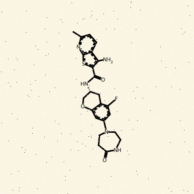 Cc1ccc2c(N)c(C(=O)N[C@H]3COc4cc(N5CCNC(=O)CC5)cc(F)c4C3)sc2n1